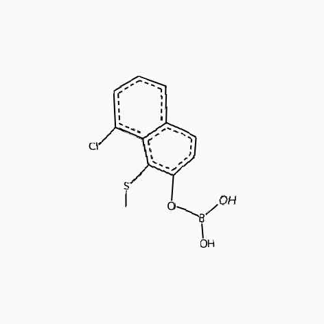 CSc1c(OB(O)O)ccc2cccc(Cl)c12